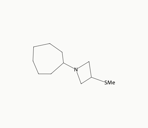 CSC1CN(C2CCCCCC2)C1